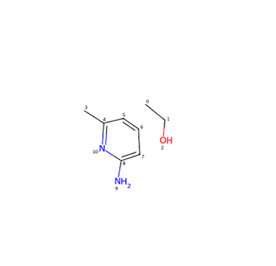 CCO.Cc1cccc(N)n1